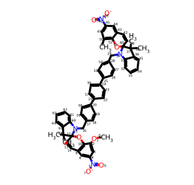 COc1cc([N+](=O)[O-])cc2c1OC1(C=C2)N(Cc2ccc(-c3ccc(-c4ccc(CN5c6ccccc6C(C)(C)C56C=Cc5cc([N+](=O)[O-])cc(C)c5O6)cc4)cc3)cc2)c2ccccc2C1(C)C